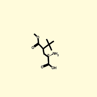 COC(=O)C(C[C@H](N)C(=O)O)C(C)(C)C